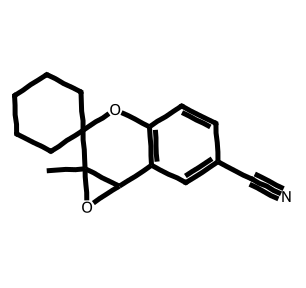 CC12OC1c1cc(C#N)ccc1OC21CCCCC1